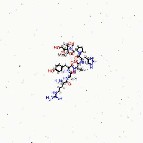 CC[C@H](C)[C@H](NC(=O)[C@H](Cc1ccc(O)cc1)NC(=O)[C@@H](NC(=O)[C@@H](N)CCCNC(=N)N)C(C)C)C(=O)N[C@@H](Cc1c[nH]cn1)C(=O)N1CCC[C@H]1C(=O)N(C)[C@](C(=O)CO)(C(=O)OC)[C@@H](C)O